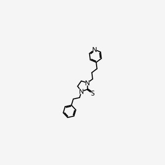 S=C1N(CCCc2ccncc2)CCN1CCc1ccccc1